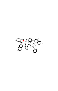 c1ccc(-c2nc(-c3cccc4ccccc34)nc(-c3c(-c4ccccc4)c(-c4ccccc4)c(-n4c5cc6ccccc6cc5c5c6ccccc6ccc54)c4ccccc34)n2)cc1